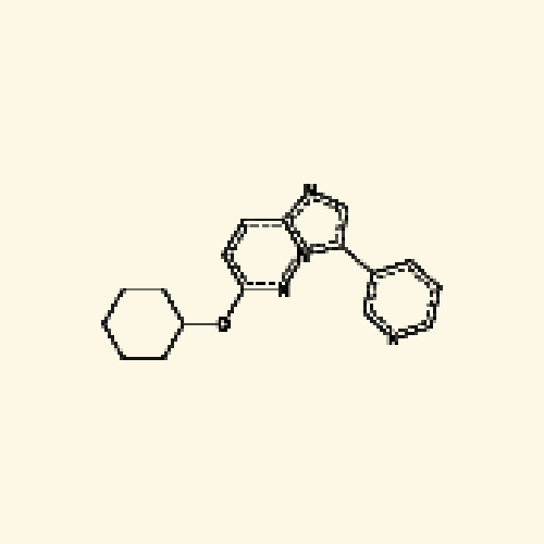 c1cncc(-c2cnc3ccc(OC4CCCCC4)nn23)c1